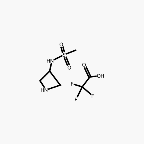 CS(=O)(=O)NC1CNC1.O=C(O)C(F)(F)F